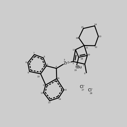 CC1[C]([Zr+2][CH]2c3ccccc3-c3ccccc32)=C2C(C(C)(C)C)=C1C21CCCCC1.[Cl-].[Cl-]